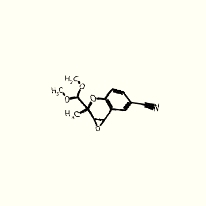 COC(OC)C1(C)Oc2ccc(C#N)cc2C2OC21